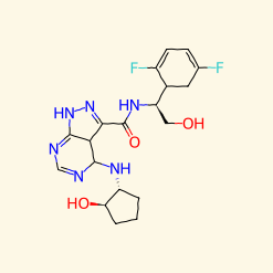 O=C(N[C@H](CO)C1CC(F)=CC=C1F)C1=NNC2=NC=NC(N[C@@H]3CCC[C@H]3O)C21